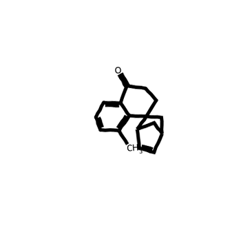 Cc1cccc2c1C1(CCC2=O)CC2C=CC1C2